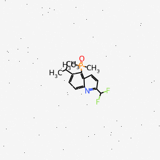 CC(C)c1ccc2nc(C(F)F)ccc2c1P(C)(C)=O